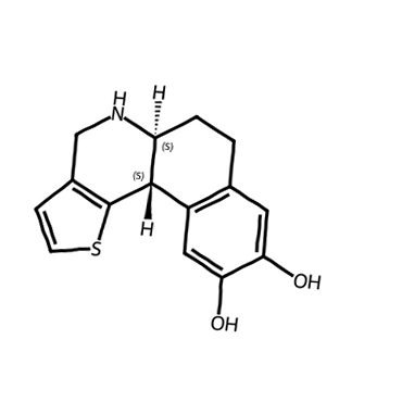 Oc1cc2c(cc1O)[C@@H]1c3sccc3CN[C@H]1CC2